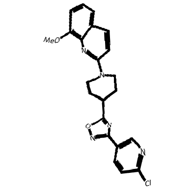 COc1cccc2ccc(N3CCC(c4nc(-c5ccc(Cl)nc5)no4)CC3)nc12